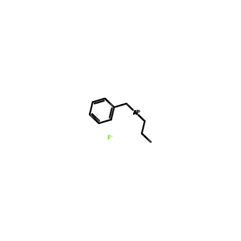 CC[CH2][Al+][CH2]c1ccccc1.[F-]